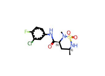 C[C@H]1C[C@@H](C(=O)Nc2ccc(F)c(Cl)c2)N(C)S(=O)(=O)N1